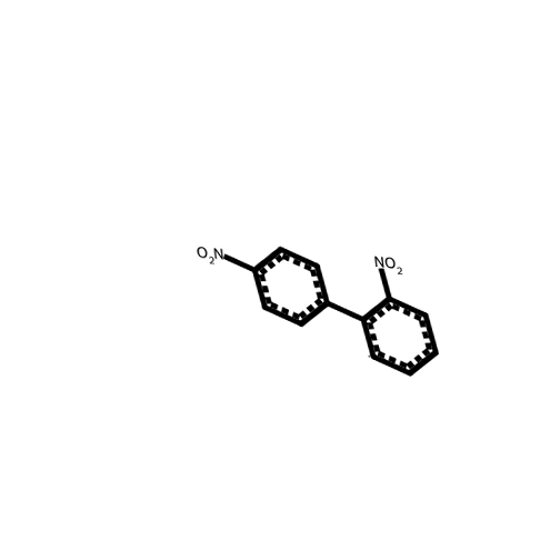 O=[N+]([O-])c1ccc(-c2[c]cccc2[N+](=O)[O-])cc1